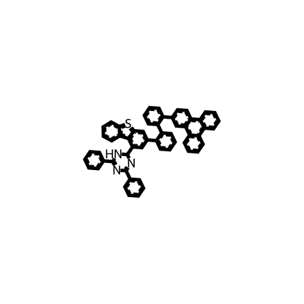 c1ccc(C2=NC(c3cc(-c4ccccc4-c4ccccc4-c4ccc5c6ccccc6c6ccccc6c5c4)cc4sc5ccccc5c34)NC(c3ccccc3)=N2)cc1